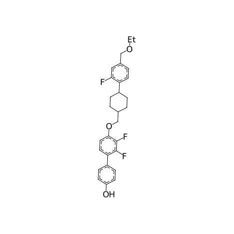 CCOCc1ccc(C2CCC(COc3ccc(-c4ccc(O)cc4)c(F)c3F)CC2)c(F)c1